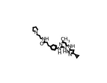 Cc1cc(Nc2cc(C3CC3)n[nH]2)nc(Nc2ccc(CCC(=O)NCCCN3CCCC3)cc2)n1